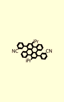 CC(C)c1cc(-c2cccc(C#N)c2)c2c3ccccc3c3c(C(C)C)cc(-c4cccc(C#N)c4)c4c5ccccc5c1c2c43